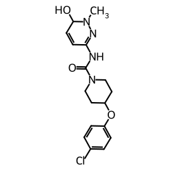 CN1N=C(NC(=O)N2CCC(Oc3ccc(Cl)cc3)CC2)C=CC1O